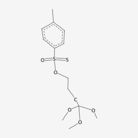 COC(CCCOS(=O)(=S)c1ccc(C)cc1)(OC)OC